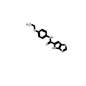 CCOc1ccc(NC(=O)c2cc3scnc3[nH]2)cc1